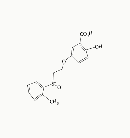 Cc1ccccc1[S+]([O-])CCOc1ccc(O)c(C(=O)O)c1